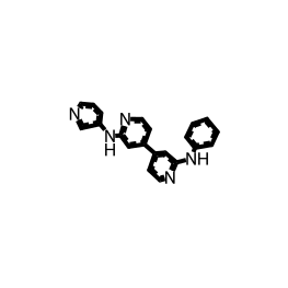 c1ccc(Nc2cc(-c3ccnc(Nc4cccnc4)c3)ccn2)cc1